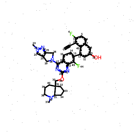 C#Cc1c(F)ccc2cc(O)cc(-c3ccc4c(N5Cc6cn(C)nc6C5)nc(OCC56CCCC5N(C)CCC6)nc4c3F)c12